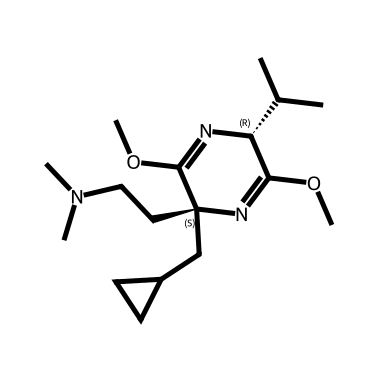 COC1=N[C@](CCN(C)C)(CC2CC2)C(OC)=N[C@@H]1C(C)C